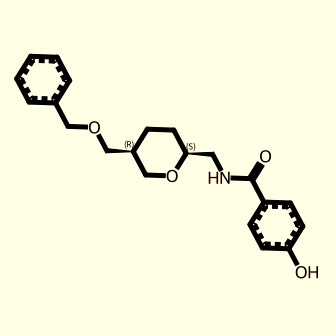 O=C(NC[C@@H]1CC[C@H](COCc2ccccc2)CO1)c1ccc(O)cc1